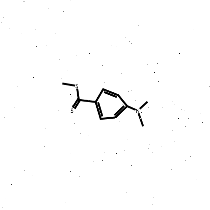 CSC(=S)c1ccc(N(C)C)cc1